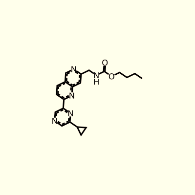 CCCCOC(=O)NCc1cc2nc(-c3cncc(C4CC4)n3)ccc2cn1